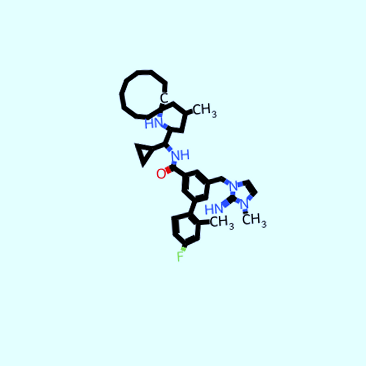 Cc1cc(F)ccc1-c1cc(Cn2ccn(C)c2=N)cc(C(=O)NC(C2CC2)C2CC(C)CC3(CCCCCCCCC3)N2)c1